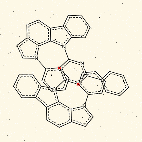 c1ccc(-c2nc(-n3c4ccccc4c4ccc5ccn(-c6ccccc6)c5c43)cc(-n3c4ccccc4c4ccc5ccn(-c6ccccc6)c5c43)n2)cc1